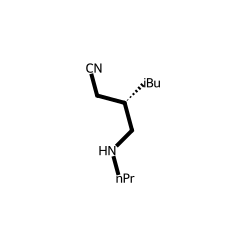 CCCNC[C@H](CC#N)C(C)CC